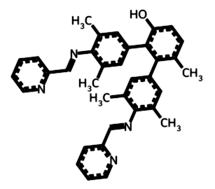 Cc1cc(-c2c(C)ccc(O)c2-c2cc(C)c(N=Cc3ccccn3)c(C)c2)cc(C)c1N=Cc1ccccn1